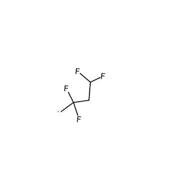 [CH2]C(F)(F)CC(F)F